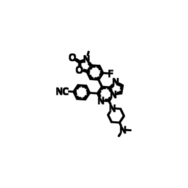 CN(C)C1CCN(c2nc(-c3ccc(C#N)cc3)c(-c3cc4oc(=O)n(C)c4cc3F)c3nccn23)CC1